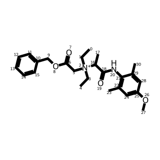 CC[N+](CC)(CC(=O)OCc1ccccc1)C(C)C(=O)Nc1c(C)cc(OC)cc1C